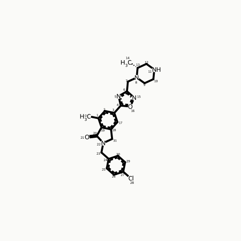 Cc1cc(-c2nc(CN3CCNC[C@H]3C)no2)cc2c1C(=O)N(Cc1ccc(Cl)cc1)C2